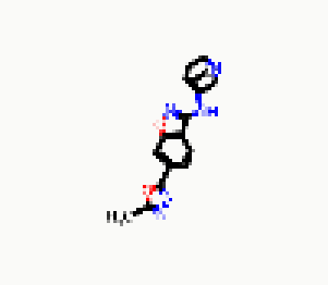 Cc1nnc(-c2ccc3c(NC4CN5CCC4CC5)noc3c2)o1